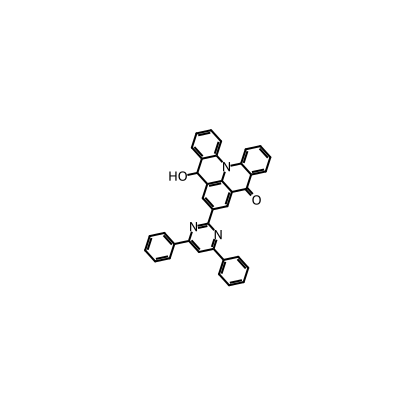 O=c1c2ccccc2n2c3c(cc(-c4nc(-c5ccccc5)cc(-c5ccccc5)n4)cc13)C(O)c1ccccc1-2